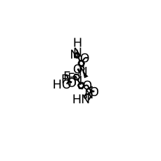 COc1cc(CN(C(=O)[C@@H]2CCCN(c3cccc(OC(C)(C)C(=O)N4CCNCC4)c3)C2)C2CC2)ccc1-c1cn[nH]c1.O=C(O)C(F)(F)F